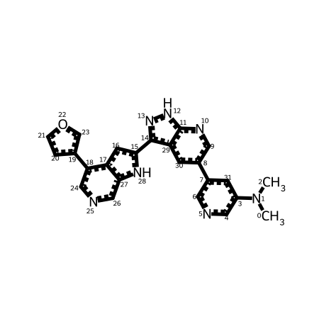 CN(C)c1cncc(-c2cnc3[nH]nc(-c4cc5c(-c6ccoc6)cncc5[nH]4)c3c2)c1